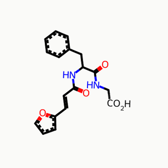 O=C(O)CNC(=O)C(Cc1ccccc1)NC(=O)C=Cc1ccco1